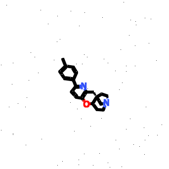 Cc1ccc(-c2ccc3c(n2)C[C@@]24CC[N@](CCC2O3)C4)cc1